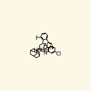 OC(CC1c2c(F)cccc2-c2cncn21)C12CC3CC(C1)C(Nc1nc4cc(Cl)ccc4o1)C(C3)C2